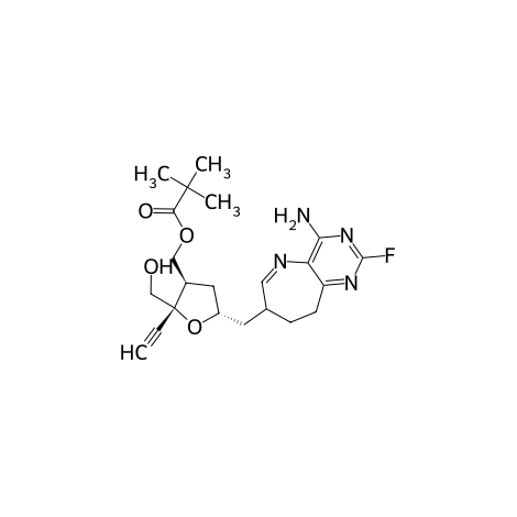 C#C[C@]1(CO)O[C@@H](CC2C=Nc3c(N)nc(F)nc3CC2)C[C@@H]1COC(=O)C(C)(C)C